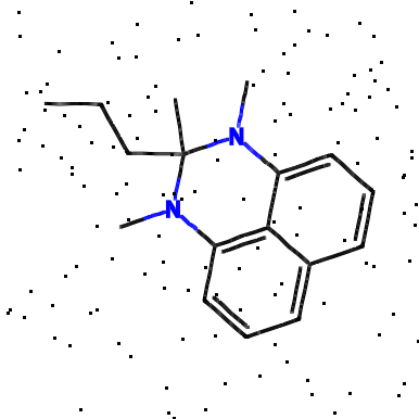 CCCC1(C)N(C)c2cccc3cccc(c23)N1C